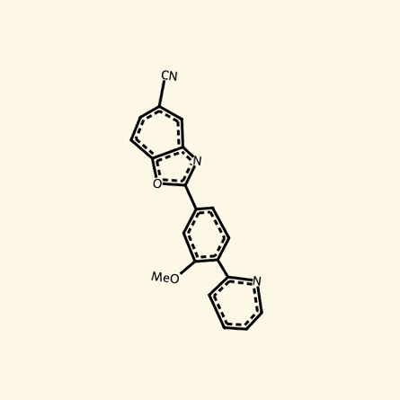 COc1cc(-c2nc3cc(C#N)ccc3o2)ccc1-c1ccccn1